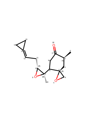 C[C@H]1C[C@]2(CO2)C([C@@]2(C)O[C@@H]2CC=C2CC2)CC1=O